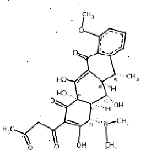 COc1cccc2c1C(=O)C1=C(O)[C@]3(O)C(=O)C(C(=O)CC(C)=O)=C(O)[C@@H](N(C)C)[C@@H]3[C@@H](O)[C@@H]1[C@H]2C